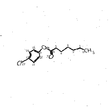 CCCCCCC(=O)Oc1ccc(Cl)cc1